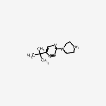 CC(C)(C)c1cnc(N2CCNCC2)cn1